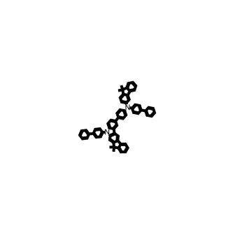 CC1(C)c2ccccc2-c2cc(N(c3ccc(-c4ccccc4)cc3)c3ccc(-c4ccc5c(c4)c4cc6c(cc4n5-c4ccc(-c5ccccc5)cc4)C(C)(C)c4ccccc4-6)cc3)ccc21